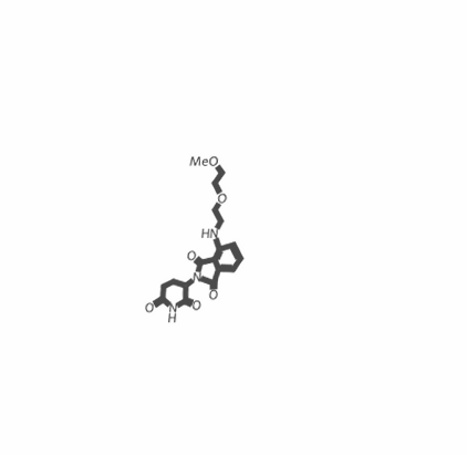 COCCOCCNc1cccc2c1C(=O)N(C1CCC(=O)NC1=O)C2=O